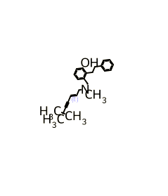 CN(C/C=C/C#CC(C)(C)C)Cc1cccc(O)c1CCc1ccccc1